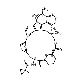 CCn1c(-c2cccnc2[C@H](C)OC)c2c3cc(ccc31)-c1csc(n1)C[C@H](NC(=O)C1(F)CC1)C(=O)N1CCC[C@H](N1)C(=O)OCC(C)(C)C2